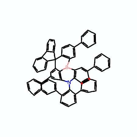 c1ccc(-c2ccc3c(c2)B2c4cc(-c5ccccc5)ccc4C4(c5ccccc5-c5ccccc54)c4cc(-c5ccccc5)cc(c42)N3c2c(-c3ccccc3)cccc2-c2ccccc2)cc1